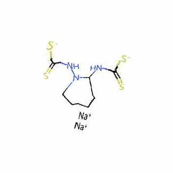 S=C([S-])NC1CCCCN1NC(=S)[S-].[Na+].[Na+]